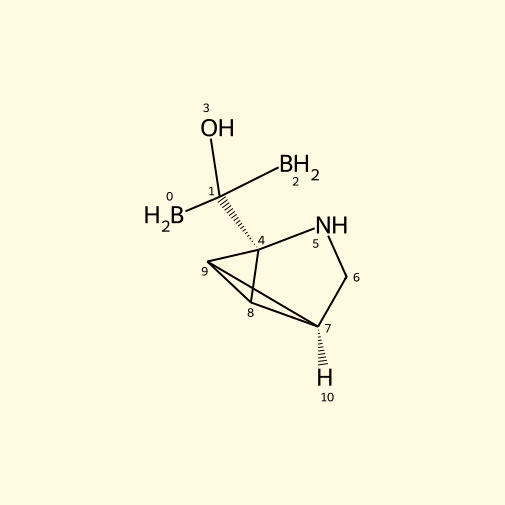 BC(B)(O)[C@]12NC[C@H]3C1C32